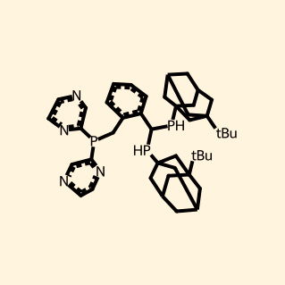 CC(C)(C)C12CC3CC(CC(PC(PC45CC6CC(C4)CC(C(C)(C)C)(C6)C5)c4ccccc4CP(c4cnccn4)c4cnccn4)(C3)C1)C2